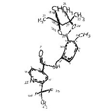 Cc1ccc(NC(=O)c2ccnc(C(C)(F)F)c2)cc1B1OC(C)(C)C(C)(C)O1